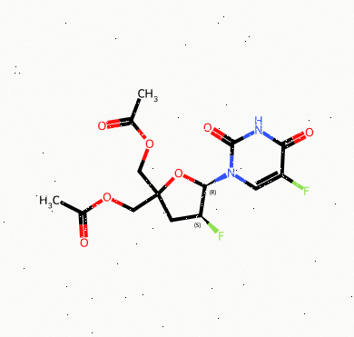 CC(=O)OCC1(COC(C)=O)C[C@H](F)[C@H](n2cc(F)c(=O)[nH]c2=O)O1